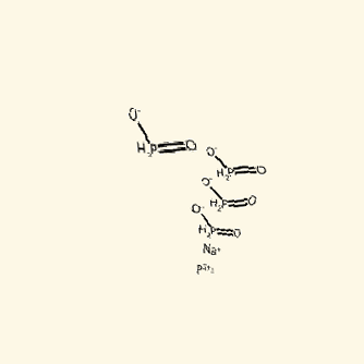 O=[PH2][O-].O=[PH2][O-].O=[PH2][O-].O=[PH2][O-].[Na+].[P+3]